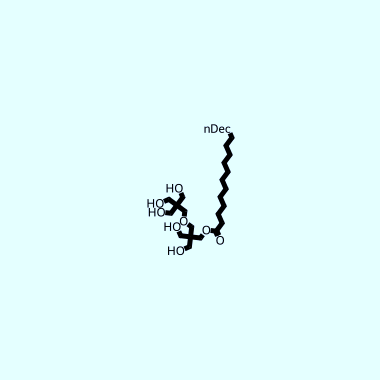 CCCCCCCCCCCCCCCCCCCCCC(=O)OCC(CO)(CO)COCC(CO)(CO)CO